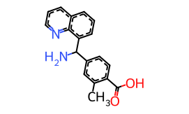 Cc1cc(C(N)c2cccc3cccnc23)ccc1C(=O)O